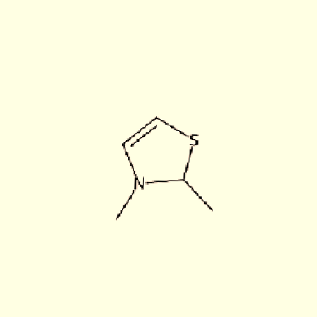 CC1SC=CN1C